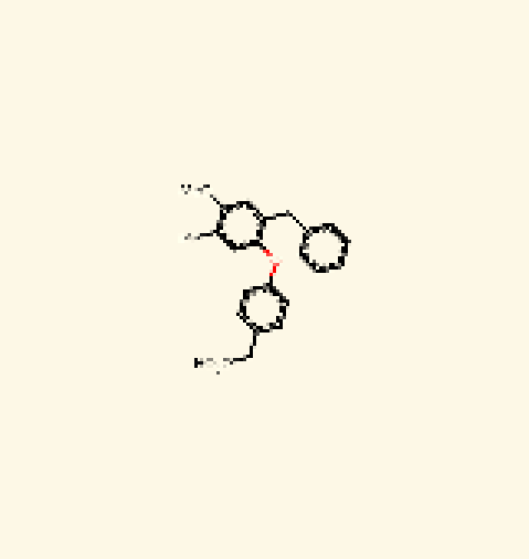 COc1cc(Cc2ccccc2)c(Oc2ccc(CC(=O)O)cc2)cc1C(C)C